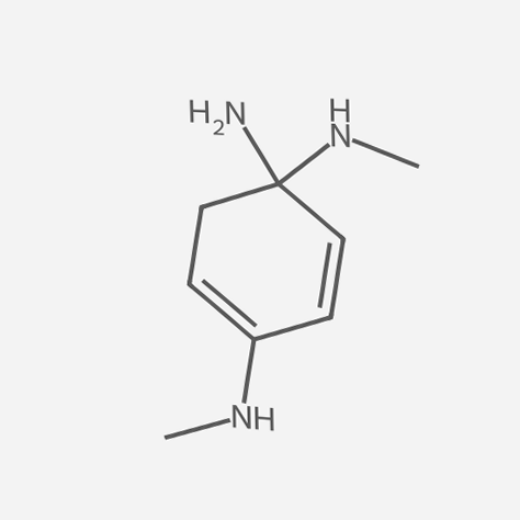 CNC1=CCC(N)(NC)C=C1